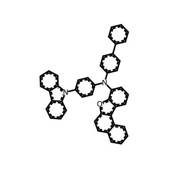 c1ccc(-c2ccc(N(c3ccc(-n4c5ccccc5c5ccccc54)cc3)c3cccc4c3oc3ccc5ccccc5c34)cc2)cc1